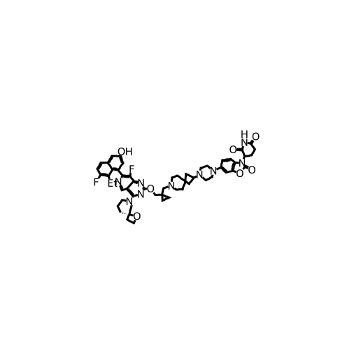 CCc1c(F)ccc2cc(O)cc(-c3ncc4c(N5CCC[C@]6(CCO6)C5)nc(OCC5(CN6CCC7(CC6)CC(N6CCN(c8ccc9c(c8)oc(=O)n9C8CCC(=O)NC8=O)CC6)C7)CC5)nc4c3F)c12